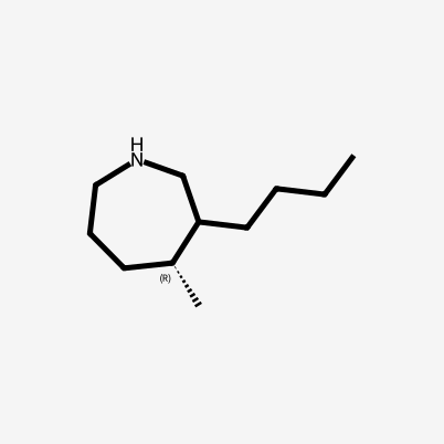 CCCCC1CNCCC[C@H]1C